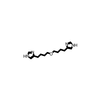 c1nc(CCCCOCCCCc2c[nH]cn2)c[nH]1